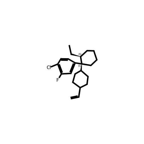 C=CC1CCC([C@]2(c3ccc(Cl)c(F)c3)CCCC[C@@H]2CC)CC1